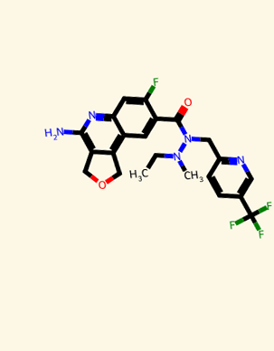 CCN(C)N(Cc1ccc(C(F)(F)F)cn1)C(=O)c1cc2c3c(c(N)nc2cc1F)COC3